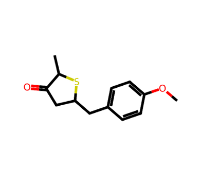 COc1ccc(CC2CC(=O)C(C)S2)cc1